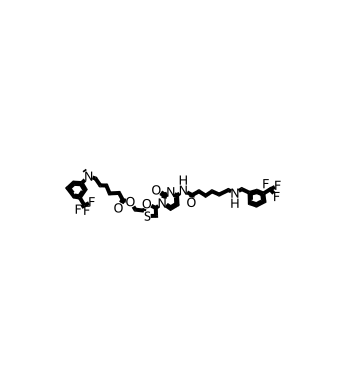 CN(CCCCCC(=O)OCC1OC(n2ccc(NC(=O)CCCCCNCc3cccc(C(F)(F)F)c3)nc2=O)CS1)c1cccc(C(F)(F)F)c1